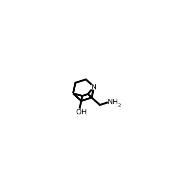 NCC1C(O)C2CCN1CC2